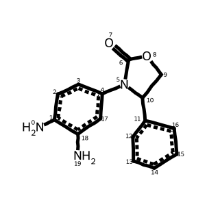 Nc1ccc(N2C(=O)OCC2c2ccccc2)cc1N